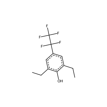 CCc1cc(C(F)(F)C(F)(F)F)cc(CC)c1O